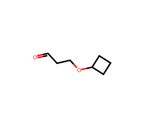 O=CCCOC1CCC1